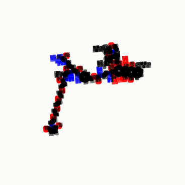 COc1cccc2c1C(=O)c1c(O)c3c(c(O)c1C2=O)C[C@@](O)(C(=O)NCCNC(=O)OCc1ccc(NC(=O)[C@H](CCCNC(N)=O)NC(=O)[C@@H](NC(=O)CCOCCOCCOCCOCCN2C(=O)C=CC2=O)C(C)C)cc1)C[C@@H]3O[C@H]1C[C@H]2[C@H](O[C@@H]3[C@@H](OC)OCCN32)[C@H](C)O1